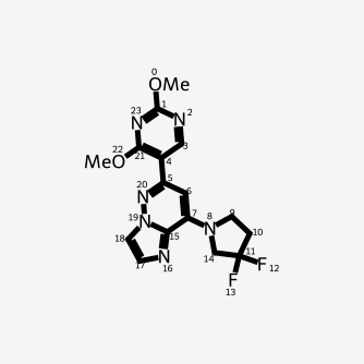 COc1ncc(-c2cc(N3CCC(F)(F)C3)c3nccn3n2)c(OC)n1